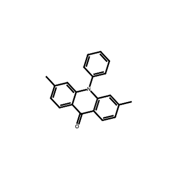 Cc1ccc2c(=O)c3ccc(C)cc3n(-c3ccccc3)c2c1